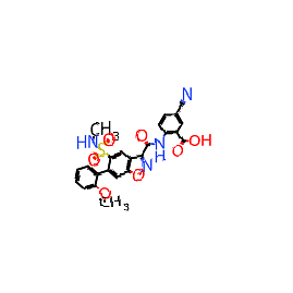 CNS(=O)(=O)c1cc2c(C(=O)Nc3ccc(C#N)cc3C(=O)O)noc2cc1-c1ccccc1OC